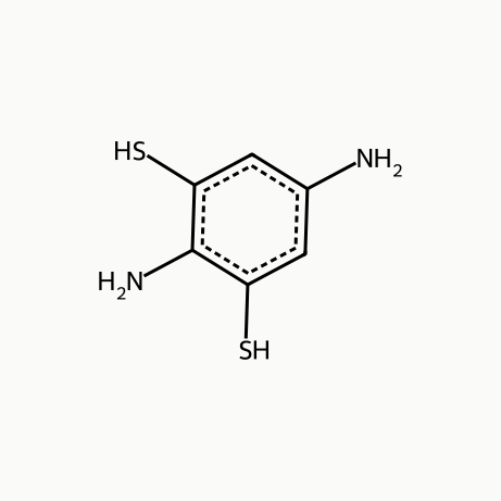 Nc1cc(S)c(N)c(S)c1